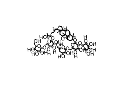 C[C@H](CC[C@@H](O[C@@H]1O[C@H](CO[C@@H]2O[C@H](CO)[C@@H](O)[C@H](O)[C@H]2O)[C@@H](O)[C@H](O)[C@H]1O)C(C)(C)O)[C@H]1CC[C@@]2(C)[C@@H]3CC=C4[C@@H](CC[C@H](O[C@@H]5O[C@H](CO[C@@H]6O[C@H](CO)C[C@H](O)[C@H]6O)[C@@H](O)[C@H](O)[C@H]5O[C@@H]5O[C@H](CO)[C@@H](O)[C@H](O)[C@H]5O)C4(C)C)[C@]3(C)C(=O)C[C@]12C